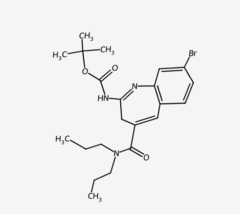 CCCN(CCC)C(=O)C1=Cc2ccc(Br)cc2N=C(NC(=O)OC(C)(C)C)C1